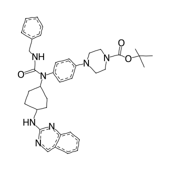 CC(C)(C)OC(=O)N1CCN(c2ccc(N(C(=O)NCc3ccccc3)C3CCC(Nc4ncc5ccccc5n4)CC3)cc2)CC1